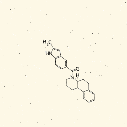 Cc1cc2cc(C(=O)N3CCCC4c5ccccc5CC[C@@H]43)ccc2[nH]1